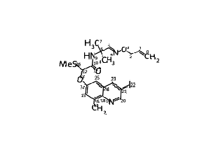 C=CCON=CC(C)(C)NC(=O)C(Oc1cc(C)c2ncc(I)cc2c1)SC